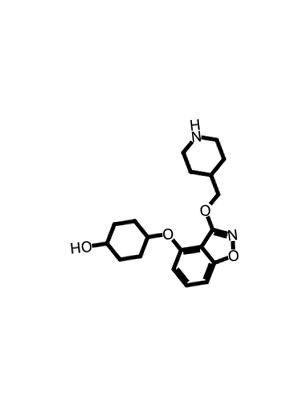 OC1CCC(Oc2cccc3onc(OCC4CCNCC4)c23)CC1